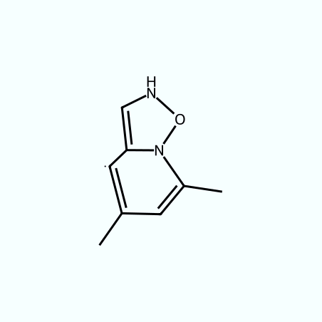 CC1=[C]C2=CNON2C(C)=C1